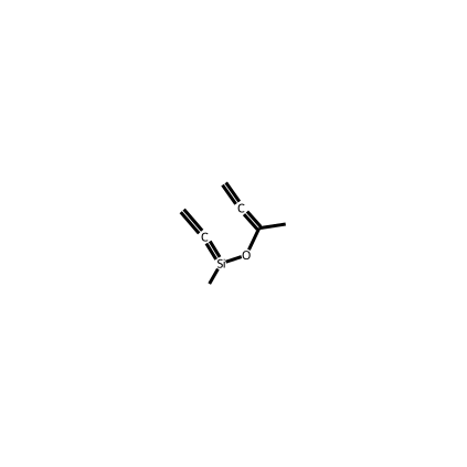 C=C=C(C)O[Si](C)=C=C